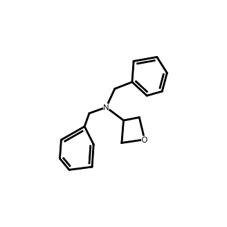 c1ccc(CN(Cc2ccccc2)C2COC2)cc1